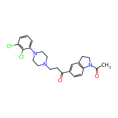 CC(=O)N1CCc2cc(C(=O)CCN3CCN(c4cccc(Cl)c4Cl)CC3)ccc21